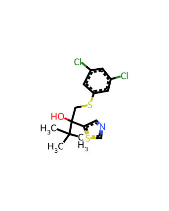 CC(C)(C)C(O)(CSc1cc(Cl)cc(Cl)c1)c1cncs1